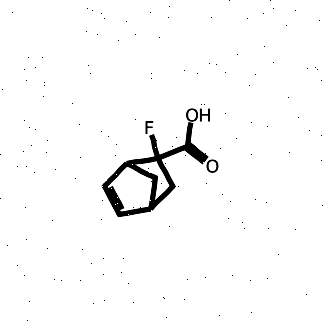 O=C(O)C1(F)CC2C=CC1C2